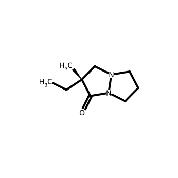 CC[C@]1(C)CN2CCCN2C1=O